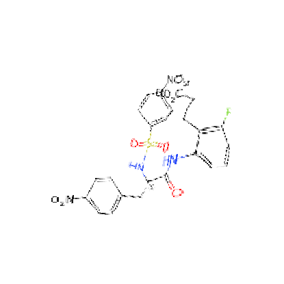 CCOC(=O)CCc1c(F)cccc1NC(=O)[C@H](Cc1ccc([N+](=O)[O-])cc1)NS(=O)(=O)c1ccc([N+](=O)[O-])cc1